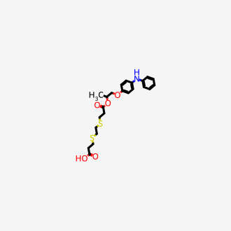 CC(COc1ccc(Nc2ccccc2)cc1)OC(=O)CCSCCSCCC(=O)O